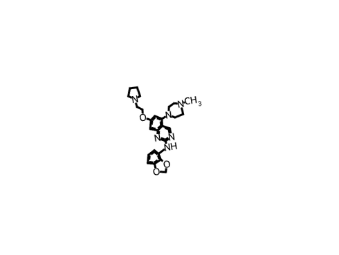 CN1CCN(c2cc(OCCN3CCCC3)cc3nc(Nc4cccc5c4OCO5)ncc23)CC1